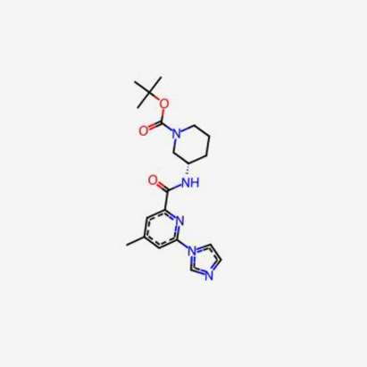 Cc1cc(C(=O)N[C@H]2CCCN(C(=O)OC(C)(C)C)C2)nc(-n2ccnc2)c1